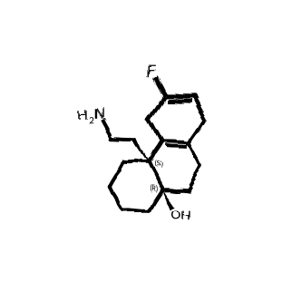 NCC[C@]12CCCC[C@@]1(O)CCC1=C2CC(F)=CC1